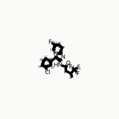 CC(CC(=O)Nc1nc2ccc(F)cn2c1-c1cccc(Cl)c1)C(F)(F)F